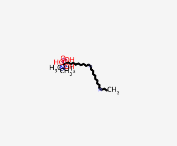 CCC/C=C\CCCCCCCC/C=C\CCCCCCCCC(O)(C[N+](C)(C)C)P(=O)(O)O